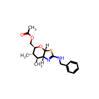 CC(=O)OC[C@H]1O[C@@H]2SC(NCc3ccccc3)=N[C@@H]2[C@@H](C)[C@@H]1C